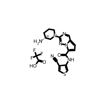 N#Cc1cscc1NC(=O)c1ccc2cnc(N3CCC[C@@H](N)C3)nn12.O=C(O)C(F)(F)F